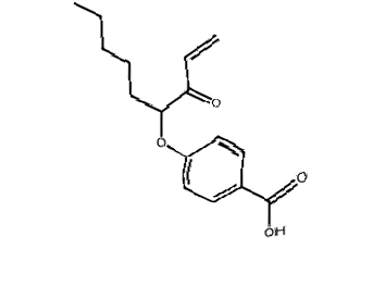 C=CC(=O)C(CCCCC)Oc1ccc(C(=O)O)cc1